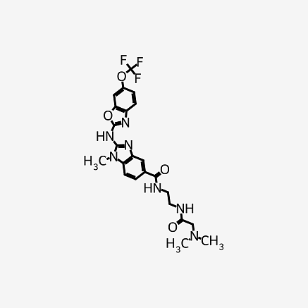 CN(C)CC(=O)NCCNC(=O)c1ccc2c(c1)nc(Nc1nc3ccc(OC(F)(F)F)cc3o1)n2C